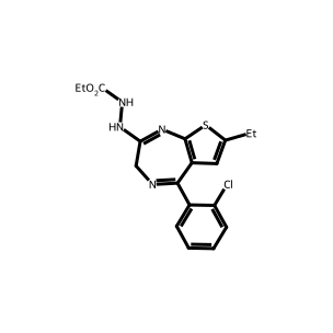 CCOC(=O)NNC1=Nc2sc(CC)cc2C(c2ccccc2Cl)=NC1